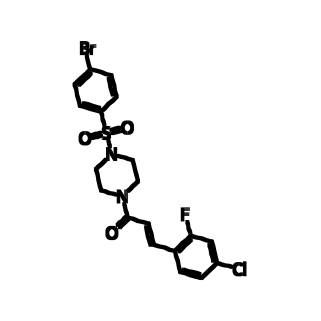 O=C(C=Cc1ccc(Cl)cc1F)N1CCN(S(=O)(=O)c2ccc(Br)cc2)CC1